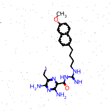 COc1ccc2cc(CCCCNC(=N)NC(=O)c3nc(CI)c(N)nc3N)ccc2c1